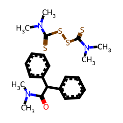 CN(C)C(=O)C(c1ccccc1)c1ccccc1.CN(C)C(=S)SSC(=S)N(C)C